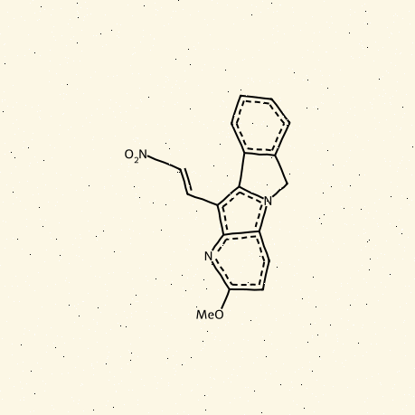 COc1ccc2c(n1)c(C=C[N+](=O)[O-])c1n2Cc2ccccc2-1